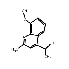 COc1cccc2c(C(C)C)cc(C)nc12